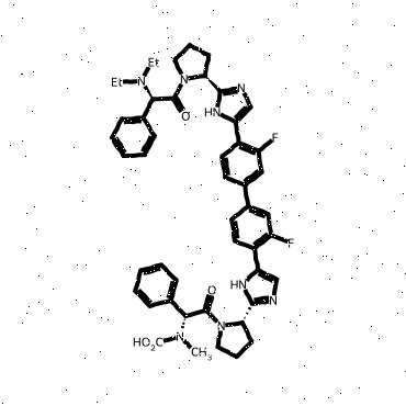 CCN(CC)[C@@H](C(=O)N1CCC[C@H]1c1ncc(-c2ccc(-c3ccc(-c4cnc([C@@H]5CCCN5C(=O)[C@@H](c5ccccc5)N(C)C(=O)O)[nH]4)c(F)c3)cc2F)[nH]1)c1ccccc1